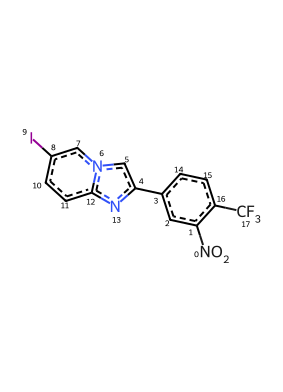 O=[N+]([O-])c1cc(-c2cn3cc(I)ccc3n2)ccc1C(F)(F)F